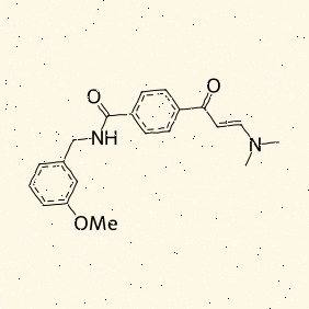 COc1cccc(CNC(=O)c2ccc(C(=O)C=CN(C)C)cc2)c1